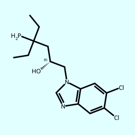 CCC(P)(CC)C[C@@H](O)Cn1cnc2cc(Cl)c(Cl)cc21